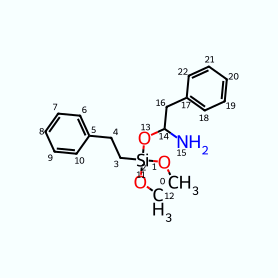 CO[Si](CCc1ccccc1)(OC)OC(N)Cc1ccccc1